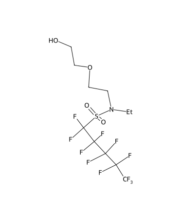 CCN(CCOCCO)S(=O)(=O)C(F)(F)C(F)(F)C(F)(F)C(F)(F)C(F)(F)F